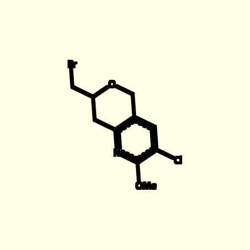 COc1nc2c(cc1Cl)COC(CBr)C2